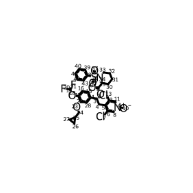 O=C(OC(Cc1c(Cl)c[n+]([O-])cc1Cl)c1ccc(OC(F)F)c(OCC2CC2)c1)C1CCCCN1S(=O)(=O)c1ccccc1